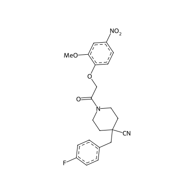 COc1cc([N+](=O)[O-])ccc1OCC(=O)N1CCC(C#N)(Cc2ccc(F)cc2)CC1